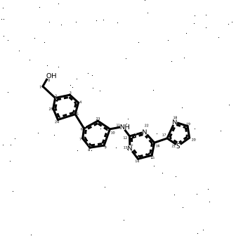 OCc1ccc(-c2cccc(Nc3nccc(-c4nccs4)n3)c2)cc1